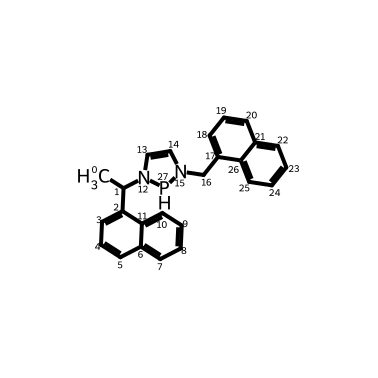 CC(c1cccc2ccccc12)N1C=CN(Cc2cccc3ccccc23)P1